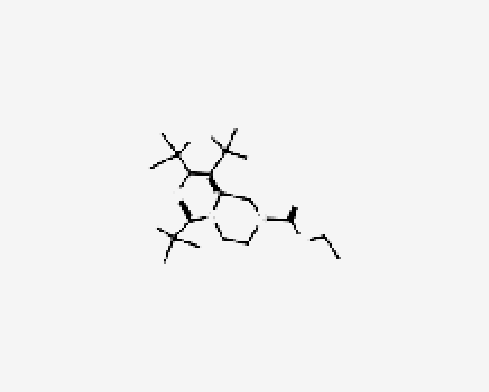 CCOC(=O)N1CCN2C(C(C)(C)C)=NC(C(C)(C)C)C(C(C)(C)C)=C2C1